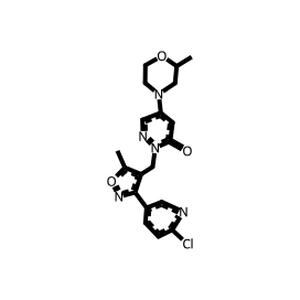 Cc1onc(-c2ccc(Cl)nc2)c1Cn1ncc(N2CCOC(C)C2)cc1=O